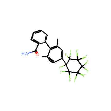 Cc1cc(C2(F)C(F)(F)C(F)(F)C(F)(F)C(F)(F)C2(F)F)cc(C)c1-c1ccccc1C(N)=O